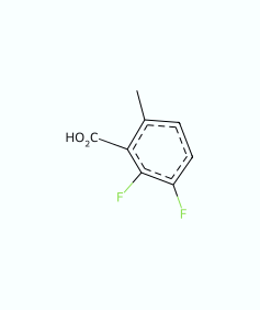 Cc1ccc(F)c(F)c1C(=O)O